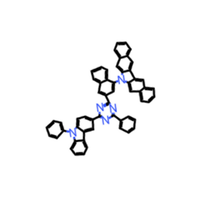 c1ccc(-c2nc(-c3cc(-n4c5cc6ccccc6cc5c5cc6ccccc6cc54)c4ccccc4c3)nc(-c3ccc4c(c3)c3ccccc3n4-c3ccccc3)n2)cc1